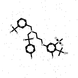 CC(C)(O)c1c(F)cc(OCCCN(Cc2cccc(C(F)(F)F)c2)CC(F)(F)c2ccc(F)cc2)cc1S(C)(=O)=O